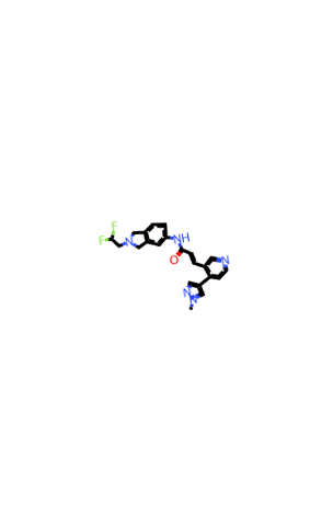 Cn1cc(-c2ccncc2C=CC(=O)Nc2ccc3c(c2)CN(CC(F)F)C3)cn1